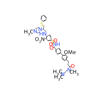 COc1cc(CCC(=O)N(C)CCN(C)C)ccc1-c1ccc(C(=O)NS(=O)(=O)c2ccc(NCC(CSc3ccccc3)N3CCN(C)CC3)c([N+](=O)[O-])c2)cc1